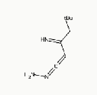 CC(C)(C)CC(=N)C=C=NN